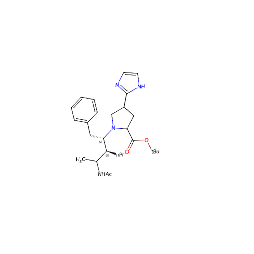 CCC[C@@H](C(C)NC(C)=O)[C@H](Cc1ccccc1)N1CC(c2ncc[nH]2)CC1C(=O)OC(C)(C)C